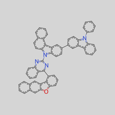 c1ccc(-n2c3ccccc3c3cc(-c4ccc5c(c4)c4c6ccccc6ccc4n5-c4nc(-c5cccc6oc7cc8ccccc8cc7c56)c5ccccc5n4)ccc32)cc1